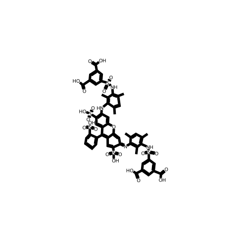 Cc1cc(C)c(NS(=O)(=O)c2cc(C(=O)O)cc(C(=O)O)c2)c(C)c1/N=c1\cc2oc3cc(Nc4c(C)cc(C)c(NS(=O)(=O)c5cc(C(=O)O)cc(C(=O)O)c5)c4C)c(S(=O)(=O)O)cc3c(-c3ccccc3S(=O)(=O)O)c-2cc1S(=O)(=O)O